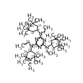 CCN(c1nc(N(CC)C2CC(C)(C)N(C)C(C)(C)C2)nc(N(CC)C2CC(C)(C)N(C)C(C)(C)C2)n1)C1CC(C)(C)N(C)C(C)(C)C1